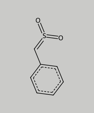 O=S(=O)=Cc1ccccc1